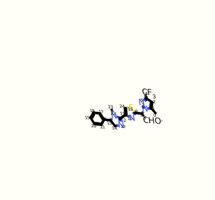 Cc1cc(C(F)(F)F)nn1C([C]=O)c1nc(C2=NCC(c3ccccc3)N2C)cs1